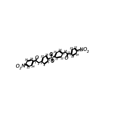 O=C(Cc1ccc(S(=O)(=O)c2ccc(CC(=O)c3ccc([N+](=O)[O-])cc3)cc2)cc1)c1ccc([N+](=O)[O-])cc1